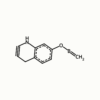 C=BOc1ccc2c(c1)NC#CC2